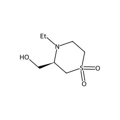 CCN1CCS(=O)(=O)C[C@H]1CO